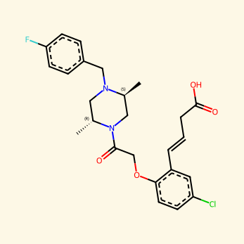 C[C@@H]1CN(Cc2ccc(F)cc2)[C@@H](C)CN1C(=O)COc1ccc(Cl)cc1C=CCC(=O)O